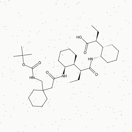 CC[C@H](C(=O)O)[C@@H]1CCCC[C@@H]1NC(=O)[C@@H](CC)[C@@H]1CCCC[C@@H]1NC(=O)CC1(CNC(=O)OC(C)(C)C)CCCCC1